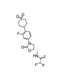 O=C1O[C@@H](CNC(=S)C(F)F)CN1c1ccc(C2CCS(=O)(=O)CC2)c(F)c1